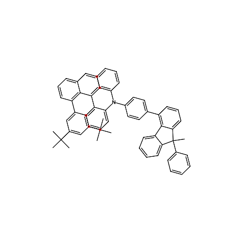 CC(C)(C)c1cc(-c2cccc3cccc(-c4ccccc4N(c4ccccc4)c4ccc(-c5cccc6c5-c5ccccc5C6(C)c5ccccc5)cc4)c23)cc(C(C)(C)C)c1